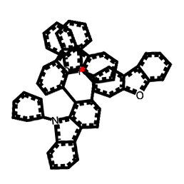 c1ccc(-n2c3ccccc3c3ccc(-c4cccc5c4oc4ccccc45)c(-c4cccc5c6ccccc6n(-c6ccc7oc8ccccc8c7c6)c45)c32)cc1